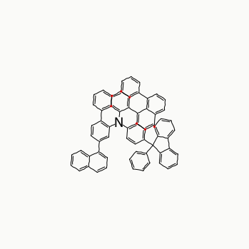 c1ccc(-c2ccc(-c3cccc4ccccc34)cc2N(c2ccc(C3(c4ccccc4)c4ccccc4-c4ccccc43)cc2)c2ccccc2-c2cccc3cccc(-c4ccccc4)c23)cc1